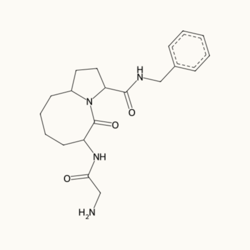 NCC(=O)NC1CCCCC2CCC(C(=O)NCc3ccccc3)N2C1=O